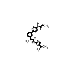 C=CC(=O)Nc1ccc(-c2cccc(C(C)C(=O)Nc3ncc(C(C)C)s3)c2)nn1